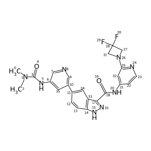 CN(C)C(=O)Nc1cncc(-c2ccc3[nH]nc(C(=O)Nc4ccnc(N5CC(F)(F)C5)c4)c3c2)c1